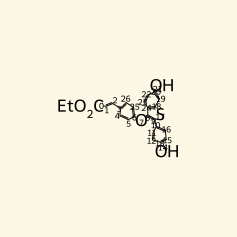 CCOC(=O)/C=C/c1ccc(Oc2c(-c3ccc(O)cc3)sc3cc(O)ccc23)cc1